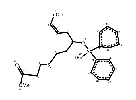 CCCCCCCC/C=C\CC(CCSCCC(=O)OC)O[Si](c1ccccc1)(c1ccccc1)C(C)(C)C